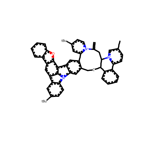 C=C1CC2C(CCc3cc4c(cc3-c3cc(C(C)(C)C)cc[n+]31)c1c3oc5ccccc5c3cc3c5cc(C(C)(C)C)ccc5n4c31)c1ccccc1-c1ccc(C)c[n+]12